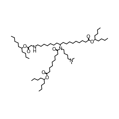 CCCCCC(CCCC)OC(=O)CNCCCCCCCC(CCCCCCCCC(=O)OC(CCCC)CCCC)N(CCCCN(C)C)C(=O)CCCCCCCC(=O)OC(CCCC)CCCC